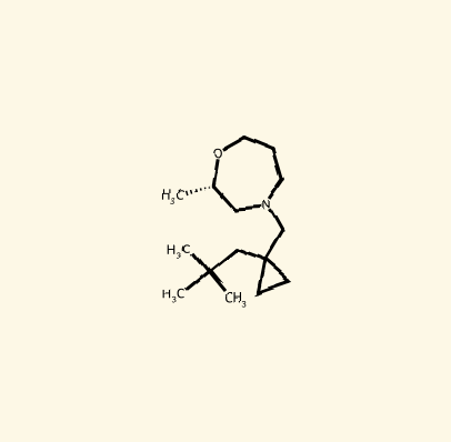 C[C@H]1CN(CC2(CC(C)(C)C)CC2)CCCO1